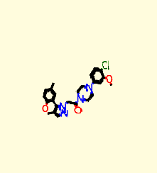 COc1cc(N2CCN(C(=O)Cn3ncc4c3-c3cc(C)ccc3OC4)CC2)ccc1Cl